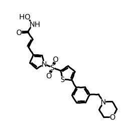 O=C(C=Cc1ccn(S(=O)(=O)c2ccc(-c3cccc(CN4CCOCC4)c3)s2)c1)NO